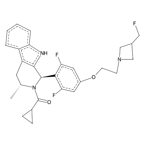 C[C@@H]1Cc2c([nH]c3ccccc23)[C@@H](c2c(F)cc(OCCN3CC(CF)C3)cc2F)N1C(=O)C1CC1